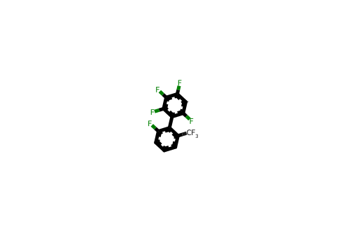 Fc1[c]c(F)c(-c2c(F)cccc2C(F)(F)F)c(F)c1F